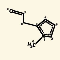 Cn1cccc1CC=O